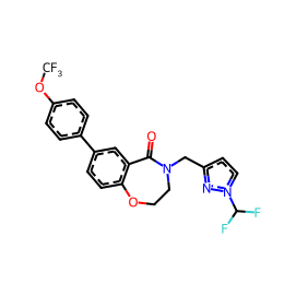 O=C1c2cc(-c3ccc(OC(F)(F)F)cc3)ccc2OCCN1Cc1ccn(C(F)F)n1